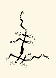 CC(C)CC(C)(C#CC(C)(CC(C)C)C(C)(C)OCCOC(C)C)C(C)(C)OCCOC(C)C